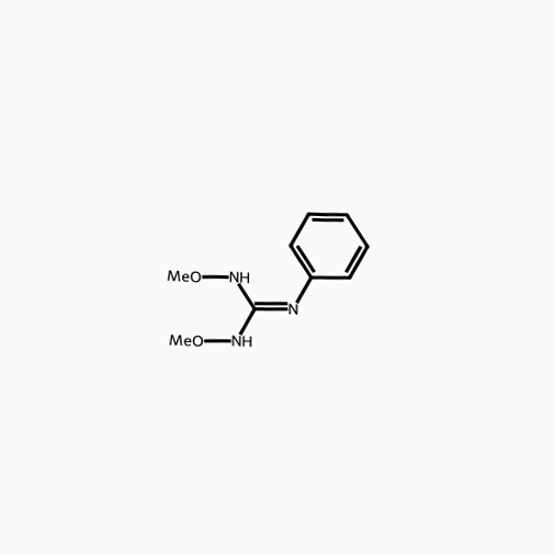 CONC(=Nc1ccccc1)NOC